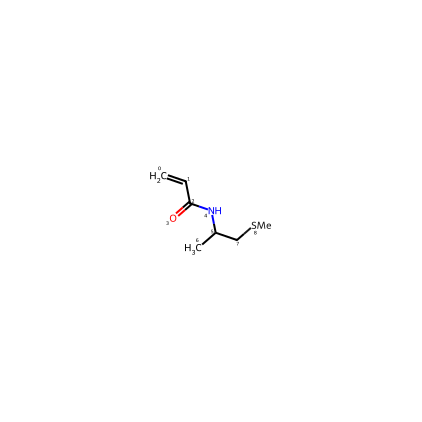 C=CC(=O)NC(C)CSC